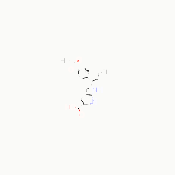 CC(C)C=C(c1ccc(S(C)(=O)=O)cc1)c1cc2cc(C(=O)O)cnc2[nH]1